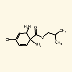 CC(C)COC(=O)C1(N)C=CC(Cl)=CC1N